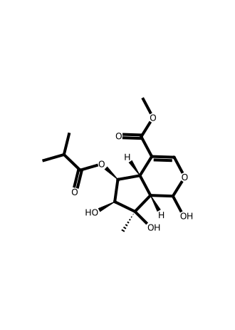 COC(=O)C1=COC(O)[C@H]2[C@@H]1[C@H](OC(=O)C(C)C)[C@H](O)[C@]2(C)O